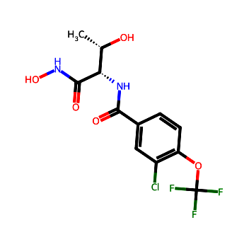 C[C@H](O)[C@H](NC(=O)c1ccc(OC(F)(F)F)c(Cl)c1)C(=O)NO